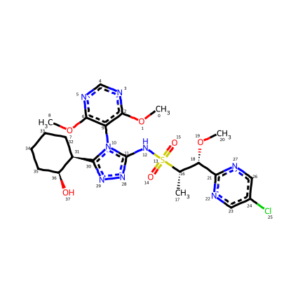 COc1ncnc(OC)c1-n1c(NS(=O)(=O)[C@@H](C)[C@H](OC)c2ncc(Cl)cn2)nnc1[C@@H]1CCCC[C@@H]1O